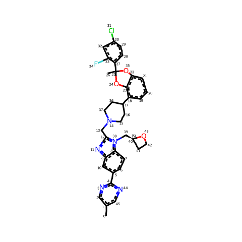 Cc1cnc(-c2ccc3c(c2)nc(CN2CCC(c4cccc5c4OC(C)(c4ccc(Cl)cc4F)O5)CC2)n3C[C@@H]2CCO2)nc1